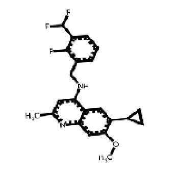 COc1cc2nc(C)cc(NCc3cccc(C(F)F)c3F)c2cc1C1CC1